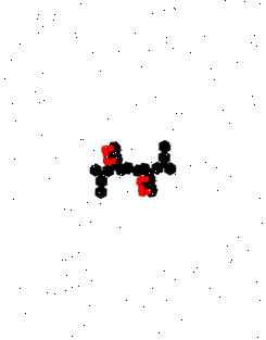 c1ccc(-c2ccc(N(c3ccccc3)c3ccc(-n4c5cc6c(cc5c5c7ccc(-c8ccc9c(ccc%10c9c9cc%11c(cc9n%10-c9ccc(N(c%10ccccc%10)c%10ccc(-c%12ccccc%12)cc%10)cc9)C9(c%10ccccc%10S%11)c%10ccccc%10-c%10ccccc%109)c8)cc7ccc54)C4(c5ccccc5S6)c5ccccc5-c5ccccc54)cc3)cc2)cc1